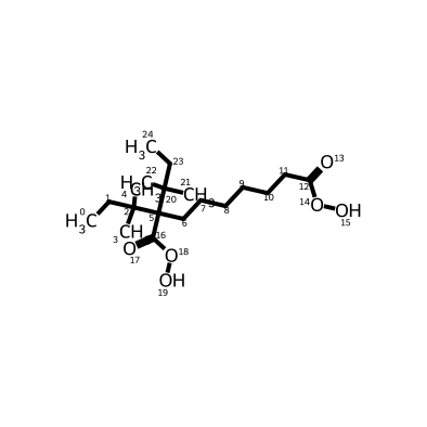 CCC(C)(C)C(CCCCCCC(=O)OO)(C(=O)OO)C(C)(C)CC